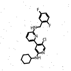 Fc1ccc(F)c(CNc2cccc(-c3cc(NC4CCCCC4)ncc3Cl)n2)c1